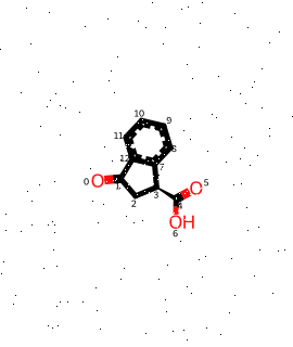 O=C1C[C@H](C(=O)O)c2ccccc21